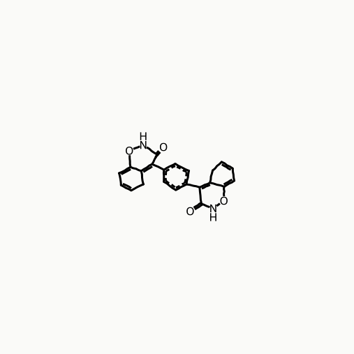 O=C1NOC2=CC=CCC2=C1c1ccc(C2=C3CC=CC=C3ONC2=O)cc1